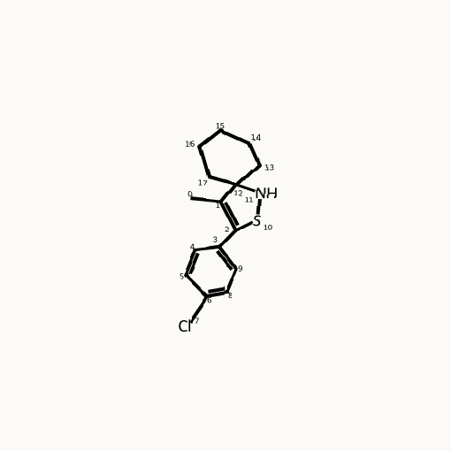 CC1=C(c2ccc(Cl)cc2)SNC12CCCCC2